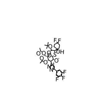 CO[C@@H]1[C@@H](n2cc(-c3cc(F)c(F)c(F)c3)nn2)[C@@H](OC(C)=O)[C@@H](COC(C)=O)O[C@H]1SC(C(=O)OC(C)(C)C)C1(O)CCC(F)(F)CC1